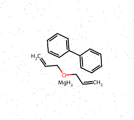 C=CCOCC=C.[MgH2].c1ccc(-c2ccccc2)cc1